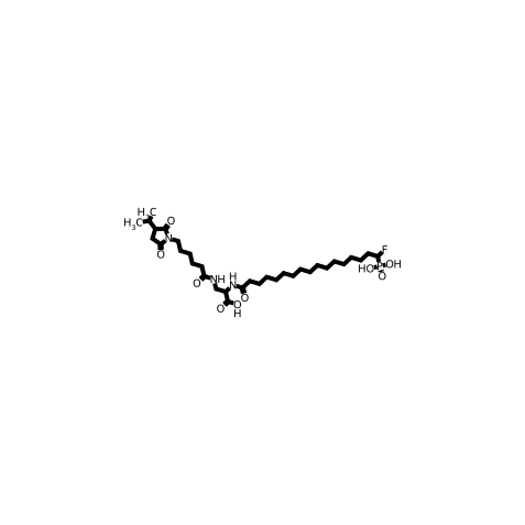 CC(C)C1CC(=O)N(CCCCCC(=O)NCC(NC(=O)CCCCCCCCCCCCCCCC(F)P(=O)(O)O)C(=O)O)C1=O